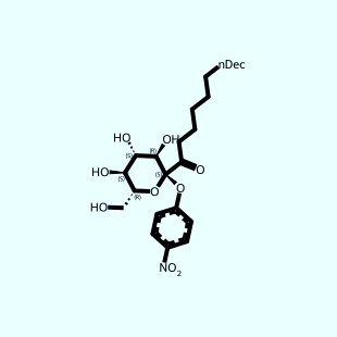 CCCCCCCCCCCCCCCC(=O)[C@]1(Oc2ccc([N+](=O)[O-])cc2)O[C@H](CO)[C@@H](O)[C@H](O)[C@H]1O